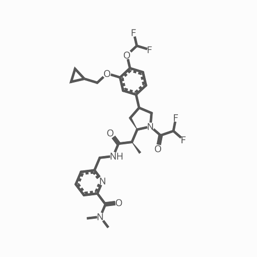 C[C@@H](C(=O)NCc1cccc(C(=O)N(C)C)n1)[C@H]1CC(c2ccc(OC(F)F)c(OCC3CC3)c2)CN1C(=O)C(F)F